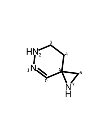 C1=NNCCC12CN2